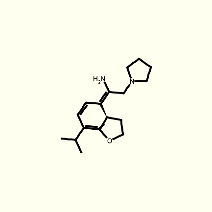 C\C=C(/C=C\C(=C(/N)CN1CCCC1)[C@H]1CCOC1)C(C)C